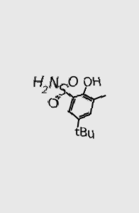 Cc1cc(C(C)(C)C)cc(S(N)(=O)=O)c1O